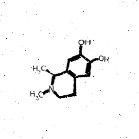 C[C@H]1c2cc(O)c(O)cc2CCN1C